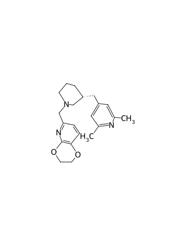 Cc1cc(C[C@H]2CCCN(Cc3ccc4c(n3)OCCO4)C2)cc(C)n1